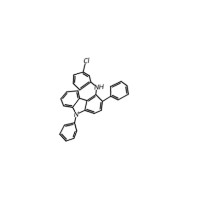 Clc1cccc(Nc2c(-c3ccccc3)ccc3c2c2ccccc2n3-c2ccccc2)c1